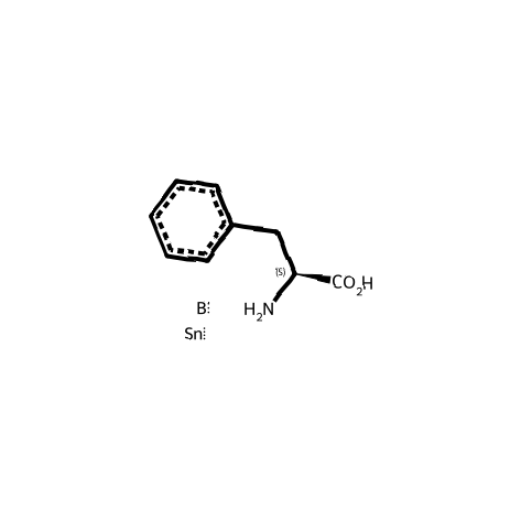 N[C@@H](Cc1ccccc1)C(=O)O.[B].[Sn]